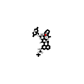 C#Cc1cccc2cc(NC(=O)OC(C)(C)C)cc(-c3nc4c5c(nc(OCC67CC(=C)CN6CC(=C)C7)nc5c3F)N3CC5CCC(C3C(C)O4)N5C(=O)O)c12